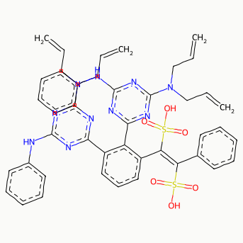 C=CCN(CC=C)c1nc(Nc2ccccc2)nc(-c2cccc(C(=C(c3ccccc3)S(=O)(=O)O)S(=O)(=O)O)c2-c2nc(Nc3ccccc3)nc(N(CC=C)CC=C)n2)n1